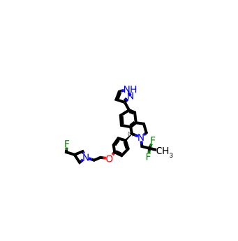 CC(F)(F)CN1CCc2cc(-c3cc[nH]n3)ccc2[C@@H]1c1ccc(OCCN2CC(CF)C2)cc1